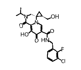 CC(C)N1C[C@@]2(C[C@H]2CO)n2cc(C(=O)NCc3cccc(Cl)c3F)c(=O)c(O)c2C1=O